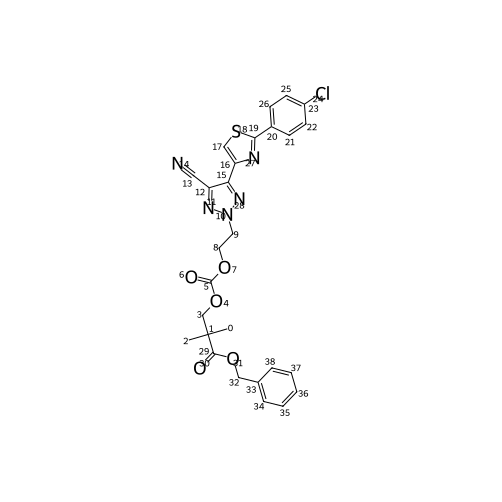 CC(C)(COC(=O)OCCn1nc(C#N)c(-c2csc(-c3ccc(Cl)cc3)n2)n1)C(=O)OCc1ccccc1